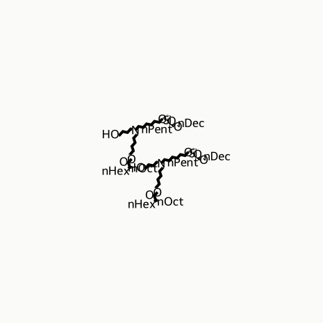 CCCCCCCCCCOC(CCCCC)O[Si](C)(C)OCCCCCCN(CCCCO)CCCCCCOC(=O)C(CCCCCC)CCCCCCCC.CCCCCCCCCCOC(CCCCC)O[Si](C)(C)OCCCCCCN(CCCCO)CCCCCCOC(=O)C(CCCCCC)CCCCCCCC